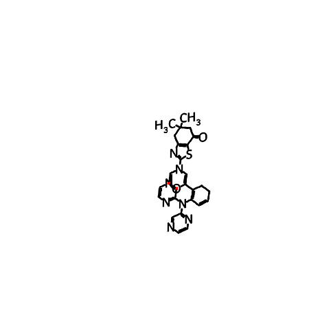 CC1(C)CC(=O)c2sc(N3C=COC(C4=C(N(c5cnccn5)c5cnccn5)C=CCC4)=C3)nc2C1